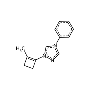 CC1=C([n+]2cn(-c3ccccc3)cn2)CC1